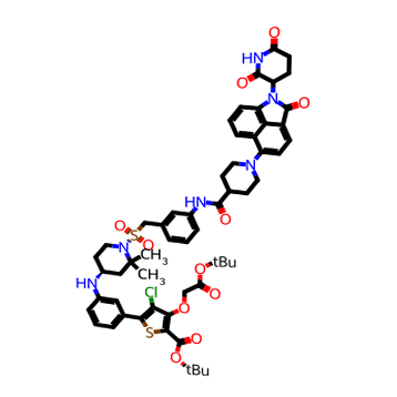 CC(C)(C)OC(=O)COc1c(C(=O)OC(C)(C)C)sc(-c2cccc(N[C@H]3CCN(S(=O)(=O)Cc4cccc(NC(=O)C5CCN(c6ccc7c8c(cccc68)N(C6CCC(=O)NC6=O)C7=O)CC5)c4)C(C)(C)C3)c2)c1Cl